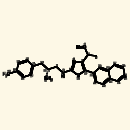 COC(C)c1nc(NC[C@H](N)Cc2ccc(C(F)(F)F)cc2)sc1-c1ccc2cnccc2c1